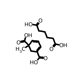 CC1(C(=O)O)C=CC=C(C(=O)O)C1.O=C(O)CCCCC(=O)O